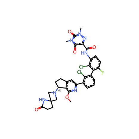 COc1nc(-c2cccc(-c3c(F)ccc(NC(=O)c4nn(C)c(=O)n(C)c4=O)c3Cl)c2Cl)cc2c1[C@@H](N1CC3(CCC(=O)N3)C1)CC2